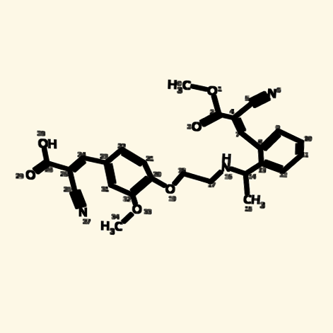 COC(=O)/C(C#N)=C/c1ccccc1C(C)NCCOc1ccc(/C=C(\C#N)C(=O)O)cc1OC